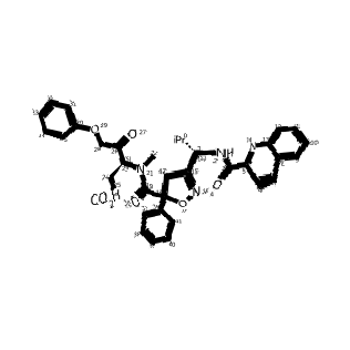 CC(C)[C@H](NC(=O)c1ccc2ccccc2n1)C1=NOC(C(=O)N(C)[C@@H](CC(=O)O)C(=O)COc2ccccc2)(c2ccccc2)C1